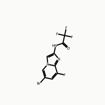 O=C(Nc1cn2cc(Br)cc(F)c2n1)C(F)(F)F